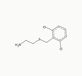 NCCSCc1c(Cl)cccc1Cl